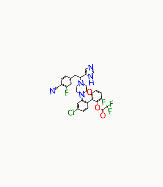 N#Cc1ccc(CC(c2cnc[nH]2)N2CCN(c3cc(Cl)ccc3-c3ccccc3OC(=O)C(F)(F)F)C(=O)C2)cc1F